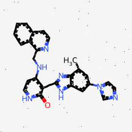 Cc1cc(-n2ccnc2)cc2[nH]c(-c3c(NCc4nccc5ccccc45)cc[nH]c3=O)nc12